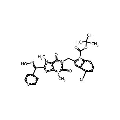 Cn1c(/C(=N/O)c2ccncc2)nc2c1c(=O)n(Cc1cc3c(Cl)cccc3n1C(=O)OC(C)(C)C)c(=O)n2C